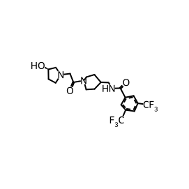 O=C(NCC1CCN(C(=O)CN2CC[C@@H](O)C2)CC1)c1cc(C(F)(F)F)cc(C(F)(F)F)c1